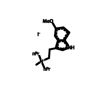 CCC[N+](C)(CCC)CCc1c[nH]c2ccc(OC)cc12.[I-]